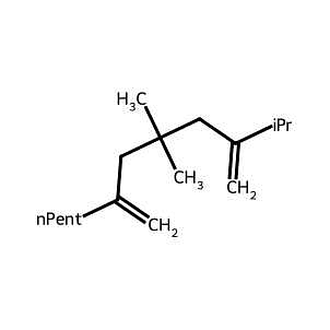 C=C(CCCCC)CC(C)(C)CC(=C)C(C)C